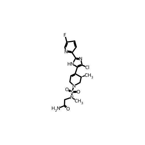 C[C@H]1CN(S(=O)(=O)N(C)CC(N)=O)CC=C1c1[nH]c(-c2ccc(F)cn2)nc1Cl